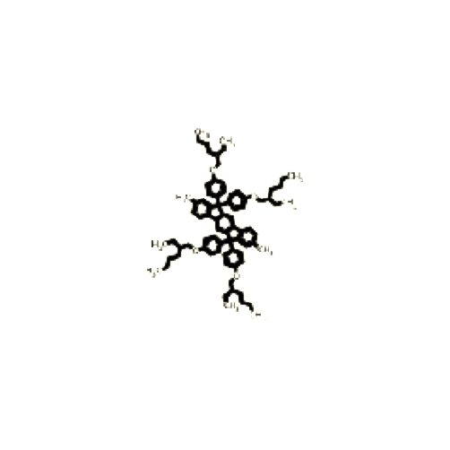 CCCCC(CC)COc1ccc(C2(c3ccc(OCC(CC)CCCC)cc3)c3cc(C)ccc3-c3cc4c(cc32)-c2ccc(C)cc2C4(c2ccc(OCC(CC)CCCC)cc2)c2ccc(OCC(CC)CCCC)cc2)cc1